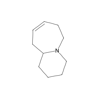 C1=CCC2CCCCN2CC1